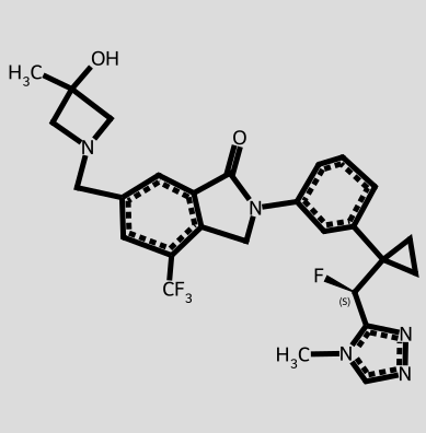 Cn1cnnc1[C@@H](F)C1(c2cccc(N3Cc4c(cc(CN5CC(C)(O)C5)cc4C(F)(F)F)C3=O)c2)CC1